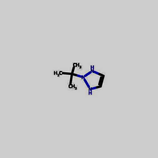 CC(C)(C)N1NC=CN1